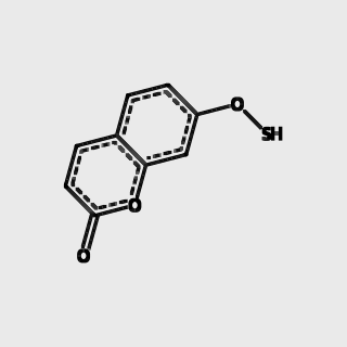 O=c1ccc2ccc(OS)cc2o1